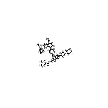 CC(C)OCCCOc1nn(C2CCC(N3CCOCC3)CC2)cc1Nc1ncc(-c2ccc(C#N)c(O[C@@H](C)Cn3cnnn3)c2)cn1